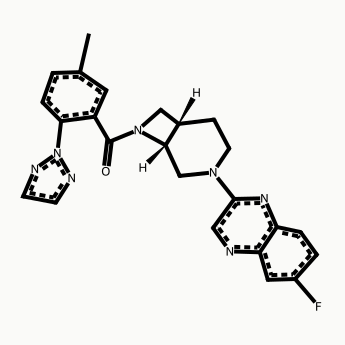 Cc1ccc(-n2nccn2)c(C(=O)N2C[C@@H]3CCN(c4cnc5cc(F)ccc5n4)C[C@@H]32)c1